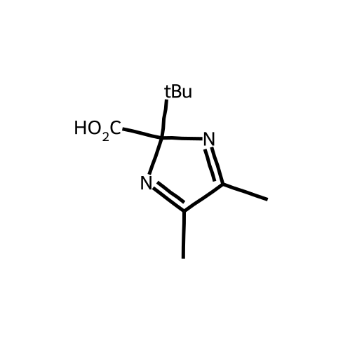 CC1=NC(C(=O)O)(C(C)(C)C)N=C1C